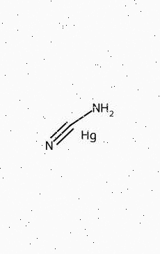 N#CN.[Hg]